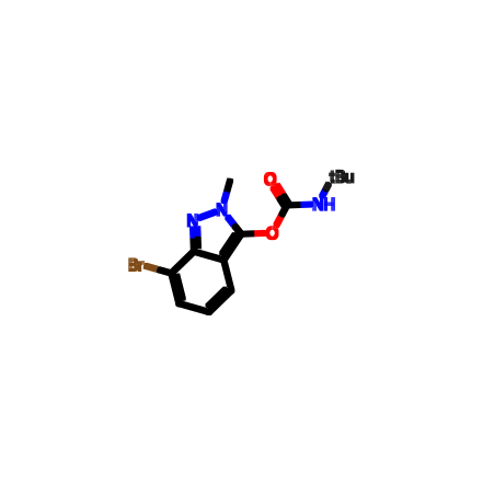 Cn1nc2c(Br)cccc2c1OC(=O)NC(C)(C)C